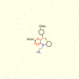 CNC(=O)O[C@@H]1C(=O)N(CCN(C)C)c2ccccc2S[C@@H]1c1ccc(OC)cc1